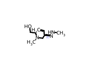 C=C/C(CN(C)CCO)=N\NC